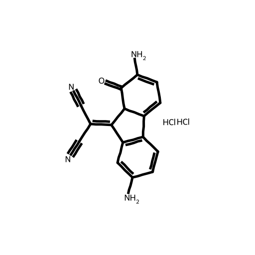 Cl.Cl.N#CC(C#N)=C1c2cc(N)ccc2C2=CC=C(N)C(=O)C21